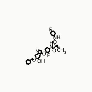 C[C@@H]1C[C@]1(COCNc1ccc(F)cc1)C(=O)Nc1ccc(Oc2ccnc3cc(OCc4ccccc4)c(O)cc23)c(F)c1